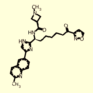 Cc1ccc2cc(-c3c[nH]c([C@H](CCCCCC(=O)c4ccon4)NC(=O)C4CN(C)C4)n3)ccc2n1